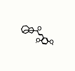 COc1ccc(OC)c(/C=C/C(=O)C23CC4CCCC(C2)C(C4)C3)c1